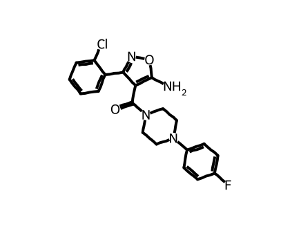 Nc1onc(-c2ccccc2Cl)c1C(=O)N1CCN(c2ccc(F)cc2)CC1